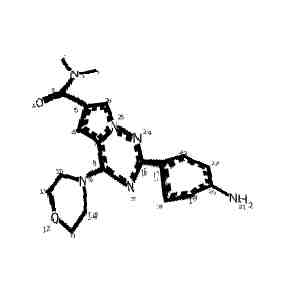 CN(C)C(=O)c1cc2c(N3CCOCC3)nc(-c3ccc(N)cc3)nn2c1